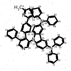 Cc1cccc(-c2ccc(-c3c(-c4ccccc4)cncc3-n3c4ccc(N(c5ccccc5)c5ccccc5)cc4c4cc(N(c5ccccc5)c5ccccc5)ccc43)cc2)n1